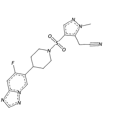 Cn1ncc(S(=O)(=O)N2CCC(c3cn4ncnc4cc3F)CC2)c1CC#N